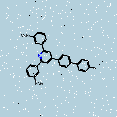 CNc1cccc(-c2cc(-c3ccc(-c4ccc(C)cc4)cc3)cc(-c3cccc(NC)c3)n2)c1